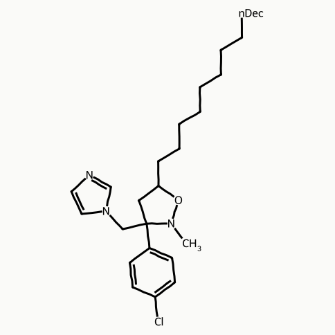 CCCCCCCCCCCCCCCCCCC1CC(Cn2ccnc2)(c2ccc(Cl)cc2)N(C)O1